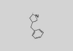 [CH]1CC(Cc2ccccc2)C[N]1